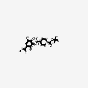 COC(=O)c1cc(F)c(Cl)c(N[C@@H](C)C2CCN(C(=O)OC(C)(C)C)CC2)c1F